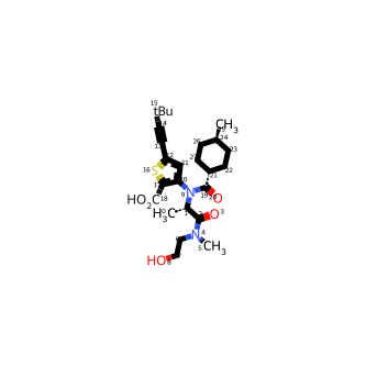 C[C@@H](C(=O)N(C)CCO)N(c1cc(C#CC(C)(C)C)sc1C(=O)O)C(=O)[C@H]1CC[C@H](C)CC1